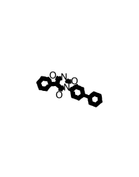 O=c1c2c(nc3oc4cc(-c5ccccc5)ccc4n13)oc1ccccc12